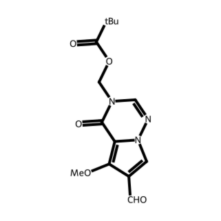 COc1c(C=O)cn2ncn(COC(=O)C(C)(C)C)c(=O)c12